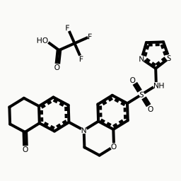 O=C(O)C(F)(F)F.O=C1CCCc2ccc(N3CCOc4cc(S(=O)(=O)Nc5nccs5)ccc43)cc21